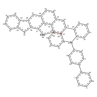 c1ccc(-c2ccc(N(c3ccccc3)c3ccccc3-c3cc4ccc5cc6c7ccccc7sc6c6[nH]c(c3)c4c56)cc2)cc1